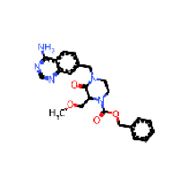 COCC1C(=O)N(Cc2ccc3c(N)ncnc3c2)CCN1C(=O)OCc1ccccc1